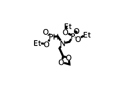 CCO[PH](=O)CN(CC1OCO1)CP(=O)(OCC)OCC